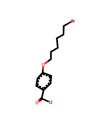 O=C(Cl)c1ccc(OCCCCCCBr)cc1